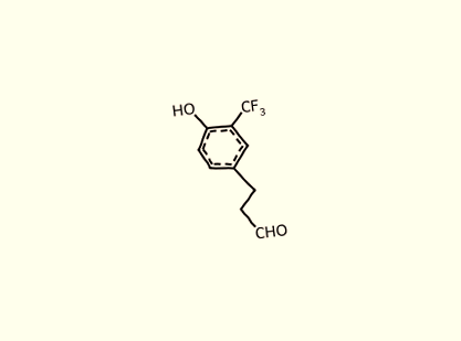 O=CCCc1ccc(O)c(C(F)(F)F)c1